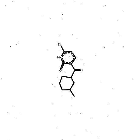 CCc1ccc(C(=O)C2CCCC(C)C2)c(=O)[nH]1